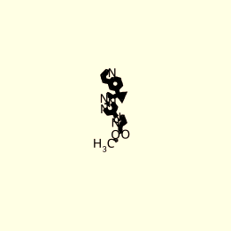 CCOC(=O)c1ccn(-c2cnc3ncc(C4(c5ccc6ncccc6c5)CC4)n3c2)n1